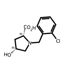 O=C(O)[C@H]1C[C@@H](O)CN1Cc1ccccc1Cl